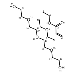 C=CC(=O)OCC.CCOCC.OCCOCCOCCOCCO